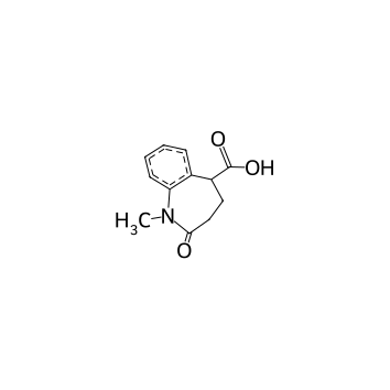 CN1C(=O)CCC(C(=O)O)c2ccccc21